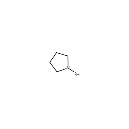 [2H]N1CCCC1